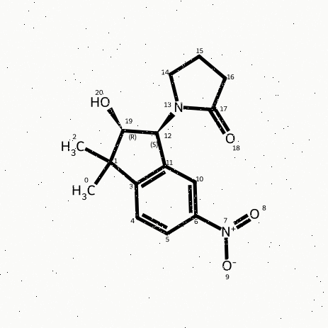 CC1(C)c2ccc([N+](=O)[O-])cc2[C@H](N2CCCC2=O)[C@@H]1O